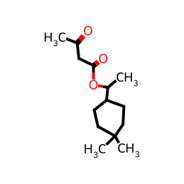 CC(=O)CC(=O)OC(C)C1CCC(C)(C)CC1